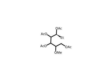 CC[C@H](OC(C)=O)C(OC(C)=O)C(OC(C)=O)C(COC(C)=O)OC